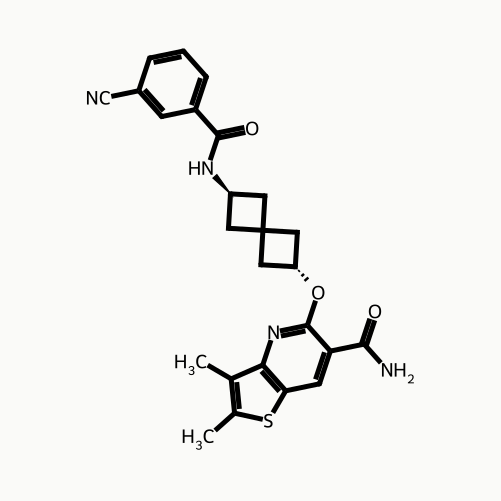 Cc1sc2cc(C(N)=O)c(O[C@H]3CC4(C[C@H](NC(=O)c5cccc(C#N)c5)C4)C3)nc2c1C